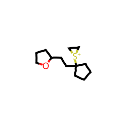 C1COC(CCC2([S+]3CC3)CCCC2)C1